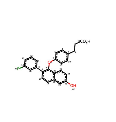 O=C(O)CCc1ccc(Oc2c(-c3cccc(F)c3)ccc3cc(O)ccc23)cc1